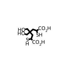 O=C(O)C(S)CC(CO)(CO)CC(S)C(=O)O